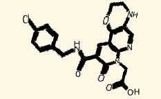 O=C(O)Cn1c(=O)c(C(=O)NCc2ccc(Cl)cc2)cc2c3c(cnc21)NCCO3